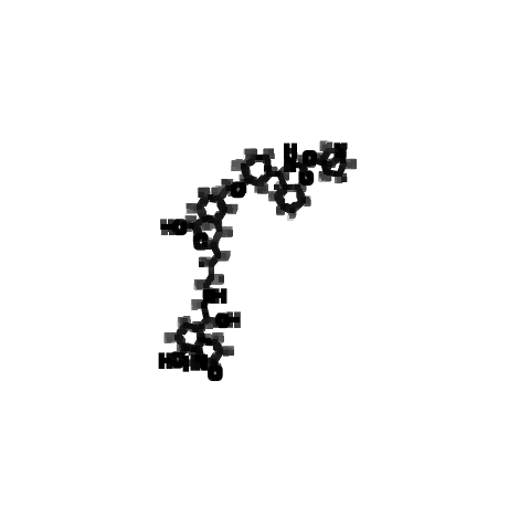 O=C(NC(c1ccccc1)c1cccc(OCc2ccc(C(=O)O)c(CCCCCCNCC(O)c3ccc(O)c4[nH]c(=O)ccc34)c2)c1)OC1CN2CCC1CC2